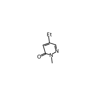 CCc1cnn(C)c(=O)c1